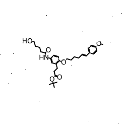 COc1ccc(/C=C/CCCCOc2ccc(NC(=O)CCCCO)cc2CCC(=O)OC(C)(C)C)cc1